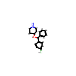 Clc1ccc(C(OC2CCNCC2)c2ccccc2)cc1